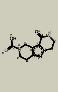 O=C1NCCn2nc3c(c21)CN(C(=O)O)CC3